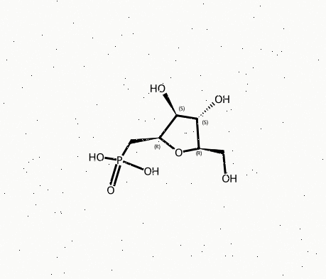 O=P(O)(O)C[C@@H]1O[C@H](CO)[C@@H](O)[C@@H]1O